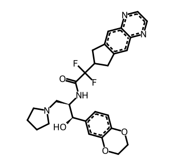 O=C(N[C@H](CN1CCCC1)[C@H](O)c1ccc2c(c1)OCCO2)C(F)(F)C1Cc2cc3nccnc3cc2C1